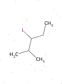 [CH2]C(C)C(I)CC